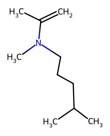 C=C(C)N(C)CCCC(C)C